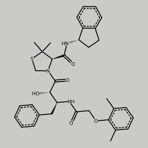 Cc1cccc(C)c1OCC(=O)N[C@@H](Cc1ccccc1)[C@H](O)C(=O)N1CSC(C)(C)[C@H]1C(=O)N[C@H]1CCc2ccccc21